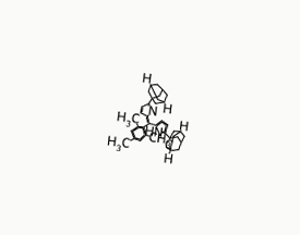 Cc1cc(C)c(/C(=C2\C=CC(C34CC5C[C@H](C3)C[C@H](C5)C4)=N2)c2ccc(C34CC5C[C@H](C3)C[C@H](C5)C4)[nH]2)c(C)c1